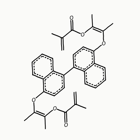 C=C(C)C(=O)OC(C)=C(C)Oc1ccc(-c2ccc(OC(C)=C(C)OC(=O)C(=C)C)c3ccccc23)c2ccccc12